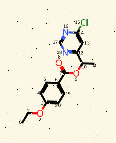 CCOc1ccc(C(=O)OC(C)c2cc(Cl)ncn2)cc1